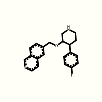 Fc1ccc(C2CCNCC2OCc2ccc3cnccc3c2)cc1